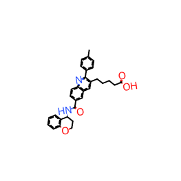 Cc1ccc(-c2nc3ccc(C(=O)N[C@@H]4CCOc5ccccc54)cc3cc2CCCCC(=O)O)cc1